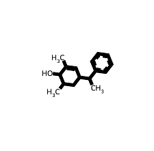 CC1=CC(C(C)c2ccccc2)CC(C)C1O